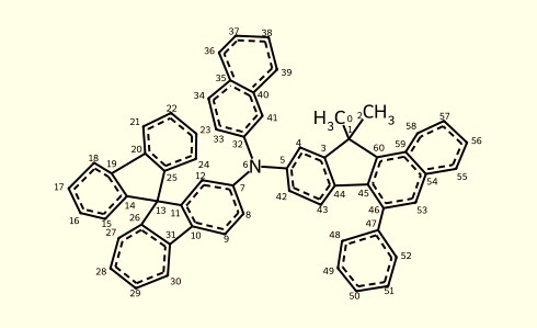 CC1(C)c2cc(N(c3ccc4c(c3)C3(c5ccccc5-c5ccccc53)c3ccccc3-4)c3ccc4ccccc4c3)ccc2-c2c(-c3ccccc3)cc3ccccc3c21